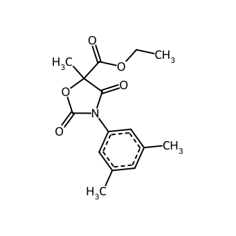 CCOC(=O)C1(C)OC(=O)N(c2cc(C)cc(C)c2)C1=O